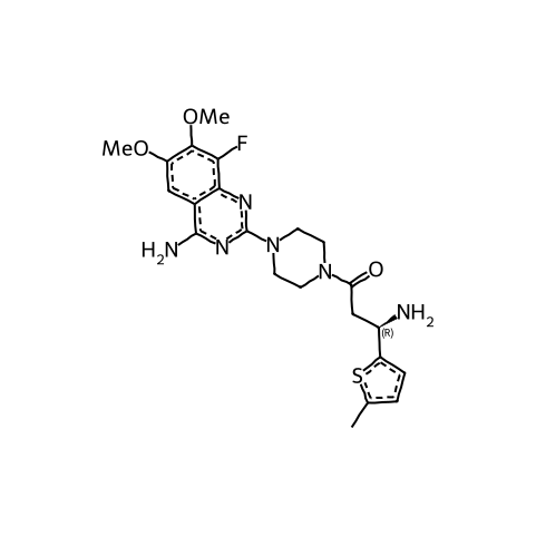 COc1cc2c(N)nc(N3CCN(C(=O)C[C@@H](N)c4ccc(C)s4)CC3)nc2c(F)c1OC